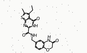 CCc1c(C)sc2nc(C(=O)NCc3ccc4c(c3)NC(=O)CO4)[nH]c(=O)c12